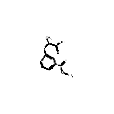 COC(=O)c1cccc(O[C@@H](C)C(=O)O)c1